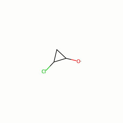 [O]C1CC1Cl